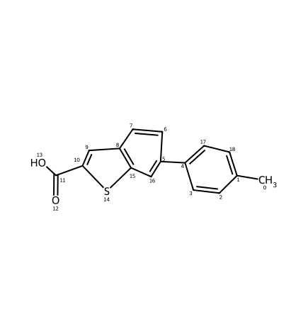 Cc1ccc(-c2ccc3cc(C(=O)O)sc3c2)cc1